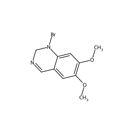 COc1cc2c(cc1OC)N(Br)CN=C2